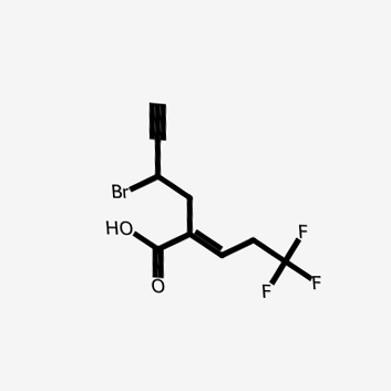 C#CC(Br)C/C(=C\CC(F)(F)F)C(=O)O